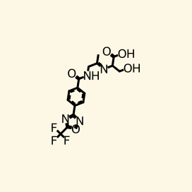 CC(CNC(=O)c1ccc(-c2noc(C(F)(F)F)n2)cc1)=NC(CO)C(=O)O